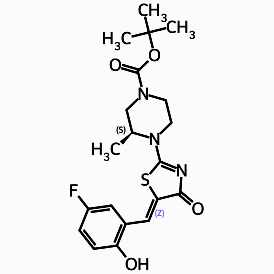 C[C@H]1CN(C(=O)OC(C)(C)C)CCN1C1=NC(=O)/C(=C/c2cc(F)ccc2O)S1